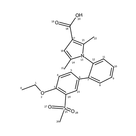 CCOc1ccc(-c2ccccc2-n2c(C)cc(C(=O)O)c2C)cc1S(C)(=O)=O